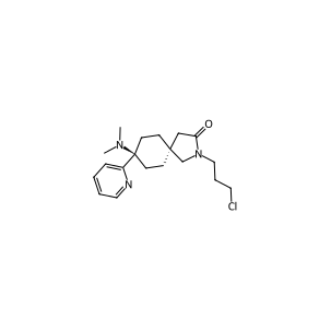 CN(C)[C@]1(c2ccccn2)CC[C@]2(CC1)CC(=O)N(CCCCl)C2